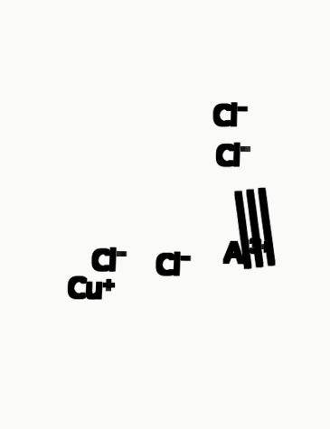 C#C.[Al+3].[Cl-].[Cl-].[Cl-].[Cl-].[Cu+]